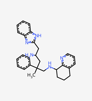 CC(CNC1CCCc2cccnc21)(CC(N)Cc1nc2ccccc2[nH]1)c1ccccc1